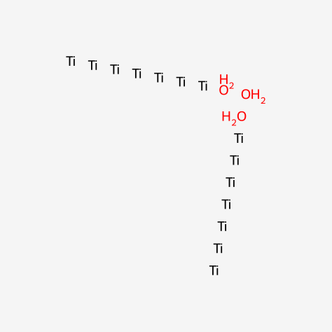 O.O.O.[Ti].[Ti].[Ti].[Ti].[Ti].[Ti].[Ti].[Ti].[Ti].[Ti].[Ti].[Ti].[Ti].[Ti]